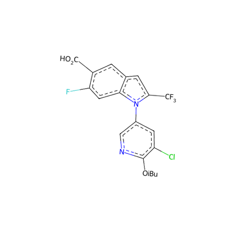 CC(C)COc1ncc(-n2c(C(F)(F)F)cc3cc(C(=O)O)c(F)cc32)cc1Cl